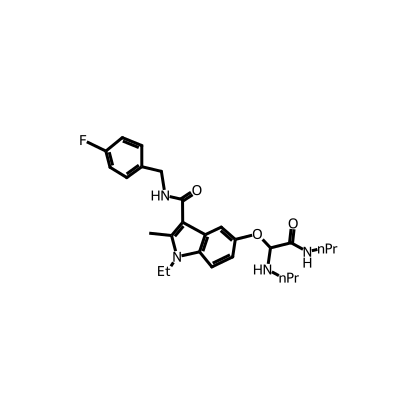 CCCNC(=O)C(NCCC)Oc1ccc2c(c1)c(C(=O)NCc1ccc(F)cc1)c(C)n2CC